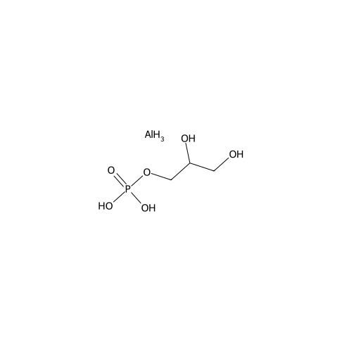 O=P(O)(O)OCC(O)CO.[AlH3]